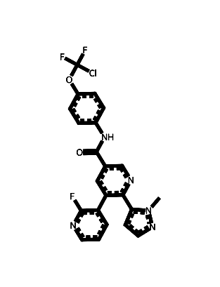 Cn1nccc1-c1ncc(C(=O)Nc2ccc(OC(F)(F)Cl)cc2)cc1-c1cccnc1F